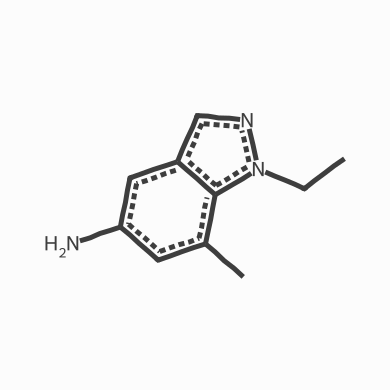 CCn1ncc2cc(N)cc(C)c21